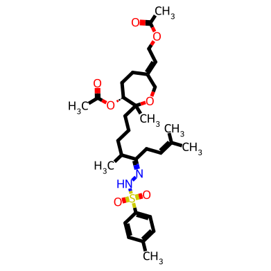 CC(=O)OC/C=C1\CC[C@@H](OC(C)=O)C(C)(CCCC(C)/C(CC=C(C)C)=N\NS(=O)(=O)c2ccc(C)cc2)OC1